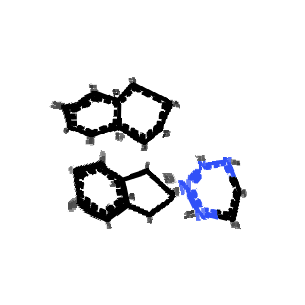 c1ccc2c(c1)CCC2.c1ccc2ccccc2c1.c1cnnnn1